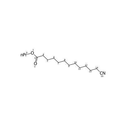 CCCOC(=O)CCCCCCCCCCCC#N